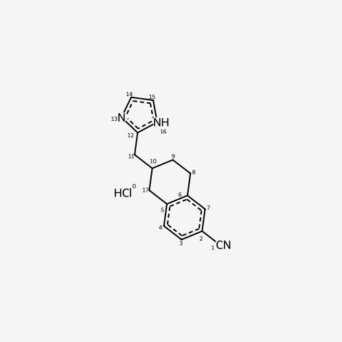 Cl.N#Cc1ccc2c(c1)CCC(Cc1ncc[nH]1)C2